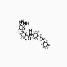 Cc1ccc(-c2ccc3nn[nH]c3n2)cc1C(=O)Nc1ccc(COCc2ccccc2)cc1